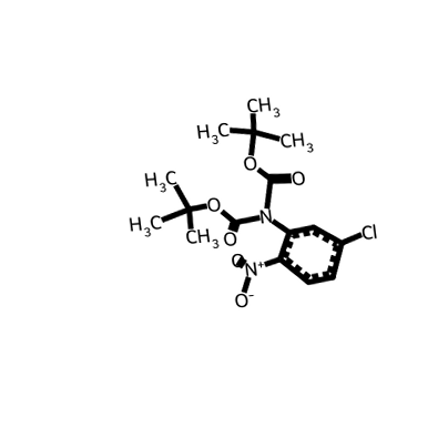 CC(C)(C)OC(=O)N(C(=O)OC(C)(C)C)c1cc(Cl)ccc1[N+](=O)[O-]